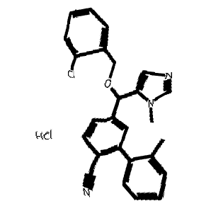 Cc1ccccc1-c1cc(C(OCc2ccccc2Cl)c2cncn2C)ccc1C#N.Cl